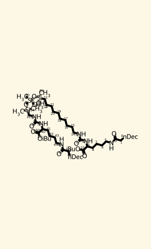 CCCCCCCCCCCC(=O)NCCCCC(NC(=O)NCCCCCCCCCC[Si](C)(C)O[Si](C)(C)O[Si](C)(C)CNC(=O)NC(CCCCNC(=O)CCCCCCCCCCC)C(=O)OCC(C)C)C(=O)OCC(C)C